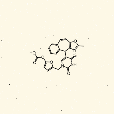 Cc1nc2c(o1)C=Cc1ccccc1C2c1cn(Cc2ccc(OC(=O)O)o2)c(=O)[nH]c1=S